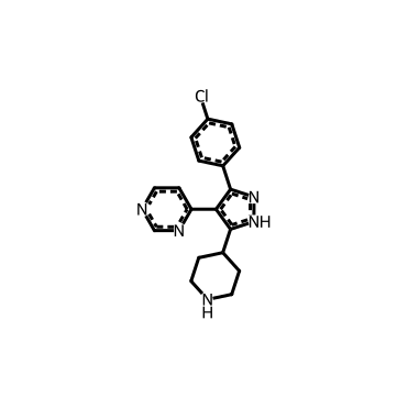 Clc1ccc(-c2n[nH]c(C3CCNCC3)c2-c2ccncn2)cc1